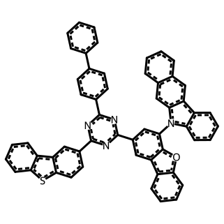 c1ccc(-c2ccc(-c3nc(-c4ccc5sc6ccccc6c5c4)nc(-c4cc(-n5c6ccccc6c6cc7ccccc7cc65)c5oc6ccccc6c5c4)n3)cc2)cc1